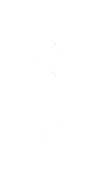 [O-][N+]1(CCCO)CCNC1